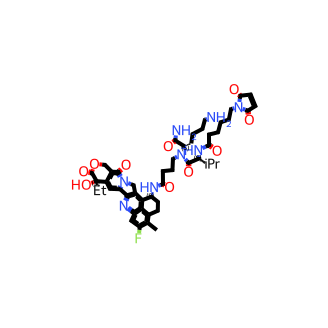 CC[C@@]1(O)C(=O)OCc2c1cc1n(c2=O)Cc2c-1nc1cc(F)c(C)c3c1c2[C@@H](NC(=O)CCCN(C(=O)[C@@H](NC(=O)CCCCCN1C(=O)C=CC1=O)C(C)C)[C@@H](CCCCN)C(N)=O)CC3